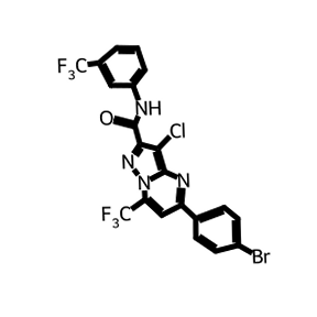 O=C(Nc1cccc(C(F)(F)F)c1)c1nn2c(C(F)(F)F)cc(-c3ccc(Br)cc3)nc2c1Cl